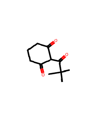 CC(C)(C)C(=O)C1C(=O)CCCC1=O